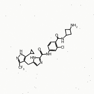 NC1CC(NC(=O)c2ccc(NC(=O)c3ncc(Cc4c(C(F)(F)F)n[nH]c4C4CC4)[nH]3)cc2Cl)C1